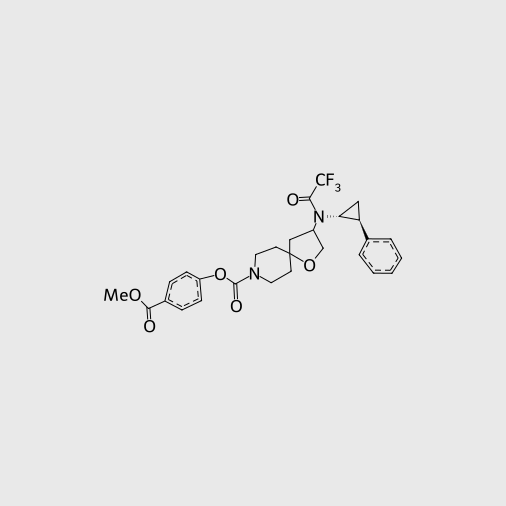 COC(=O)c1ccc(OC(=O)N2CCC3(CC2)CC(N(C(=O)C(F)(F)F)[C@@H]2C[C@H]2c2ccccc2)CO3)cc1